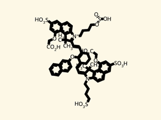 CC1(C)C(/C=C/C2=C(Oc3ccc4ccccc4c3)C(=C/C=C3/N(CCCCS(=O)(=O)O)c4ccc5cc(S(=O)(=O)O)cc(OCC(=O)O)c5c4C3(C)C)/CCC2)=[N+](CCCCOS(=O)O)c2ccc3cc(S(=O)(=O)O)cc(OCC(=O)O)c3c21